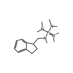 CN(C)P(N(C)C)(N(C)CC1CCc2ccccc21)=[N+](C)C